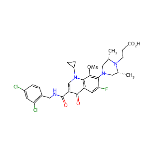 COc1c(N2C[C@@H](C)N(CCC(=O)O)[C@@H](C)C2)c(F)cc2c(=O)c(C(=O)NCc3ccc(Cl)cc3Cl)cn(C3CC3)c12